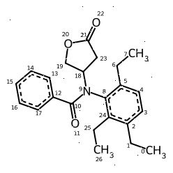 CCc1ccc(CC)c(N(C(=O)c2ccccc2)C2COC(=O)C2)c1CC